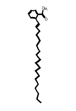 CCCCCCCCCCCCCCCCCC=Cc1ccccc1C(=O)O